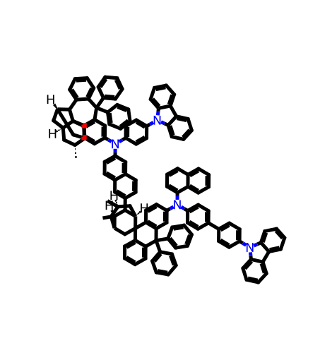 C[C@@H]1CC2CC3(c4ccccc4C(c4ccccc4)(c4ccccc4)c4cc(N(c5ccc(-c6ccc(-n7c8ccccc8c8ccccc87)cc6)cc5)c5cccc6ccccc56)ccc43)[C@H](C1)C(c1ccc3cc(N(c4ccc(-n5c6ccccc6c6ccccc65)cc4)c4ccc5c(c4)C(c4ccccc4)(c4ccccc4)c4ccccc4C4[C@@H]6CC7CC54[C@H](C6)C[C@H]7C)ccc3c1)[C@H]2C